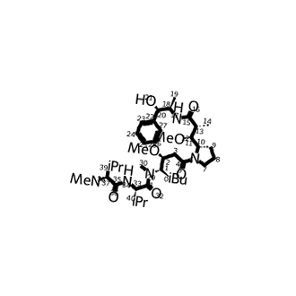 CC[C@H](C)[C@@H]([C@H](CC(=O)N1CCC[C@H]1[C@H](OC)[C@@H](C)C(=O)N[C@H](C)[C@H](O)c1ccccc1)OC)N(C)C(=O)[C@@H](NC(=O)[C@@H](NC)C(C)C)C(C)C